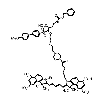 CC[N+]1=C(/C=C/C=C/C=C2\N(CCCCCC(=O)N3CCN(CCOCCON([C@H](CCNC(=O)OCc4ccccc4)C(=O)O)S(=O)(=O)c4ccc(-c5ccc(OC)cc5)cc4)CC3)c3ccc4c(S(=O)(=O)O)cc(S(=O)(=O)O)cc4c3C2(C)C)C(C)(C)c2c1ccc1c(S(=O)(=O)O)cc(S(=O)(=O)O)cc21